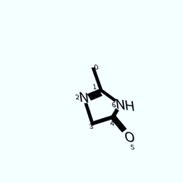 CC1=NCC(=O)N1